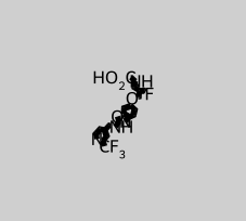 O=C(O)NC/C(=C/F)COc1ccc2nc(NCc3ccnc(C(F)(F)F)c3)oc2c1